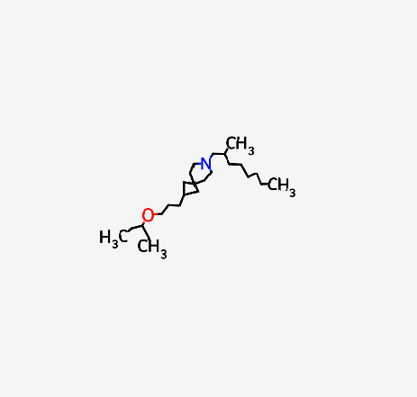 CCCCCCC(C)CN1CCC2(CC1)CC(CCCOC(CC)CC)C2